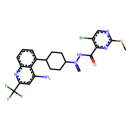 C=[N+](NC(=O)c1nc(SC)ncc1Br)C1CCC(c2cccc3nc(C(F)(F)F)cc(N)c23)CC1